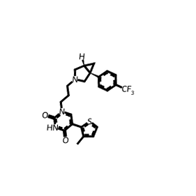 Cc1ccsc1-c1cn(CCCN2C[C@@H]3C[C@]3(c3ccc(C(F)(F)F)cc3)C2)c(=O)[nH]c1=O